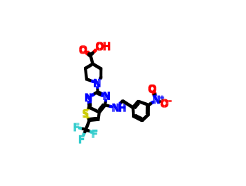 O=C(O)C1CCN(c2nc(NCc3cccc([N+](=O)[O-])c3)c3cc(C(F)(F)F)sc3n2)CC1